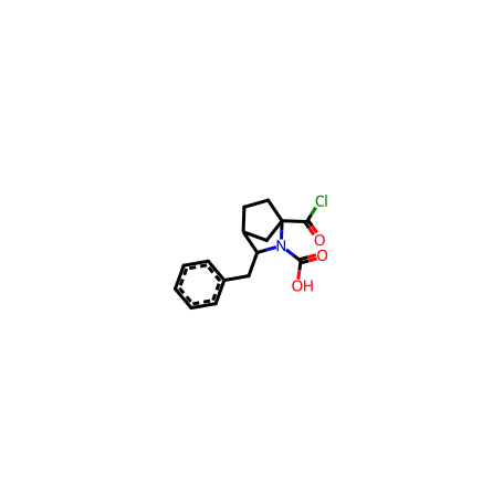 O=C(O)N1C(Cc2ccccc2)C2CCC1(C(=O)Cl)C2